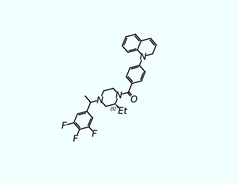 CC[C@H]1CN(C(C)c2cc(F)c(F)c(F)c2)CCN1C(=O)c1ccc(N2CC=Cc3ccccc32)cc1